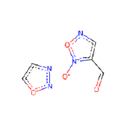 O=Cc1cno[n+]1[O-].c1conn1